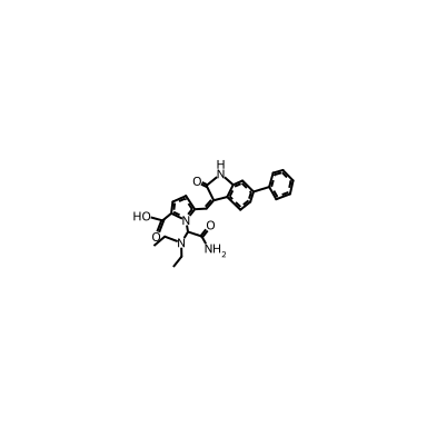 CCN(CC)C(C(N)=O)n1c(C=C2C(=O)Nc3cc(-c4ccccc4)ccc32)ccc1C(=O)O